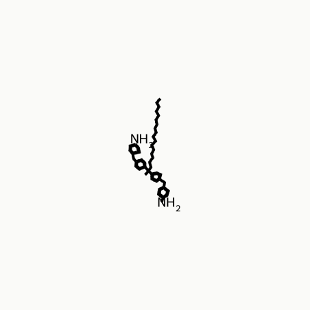 CCCCCCCCCCCCCCCCCC(C)(c1ccc(Cc2ccc(N)cc2)cc1)c1ccc(Cc2ccc(N)cc2)cc1